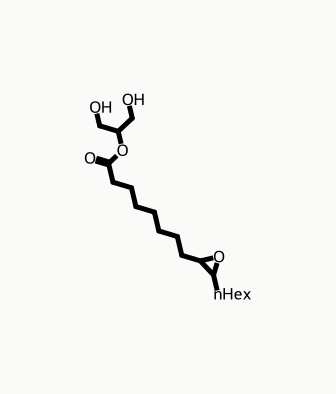 CCCCCCC1OC1CCCCCCCC(=O)OC(CO)CO